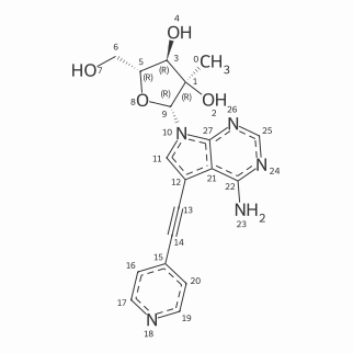 C[C@@]1(O)[C@H](O)[C@@H](CO)O[C@H]1n1cc(C#Cc2ccncc2)c2c(N)ncnc21